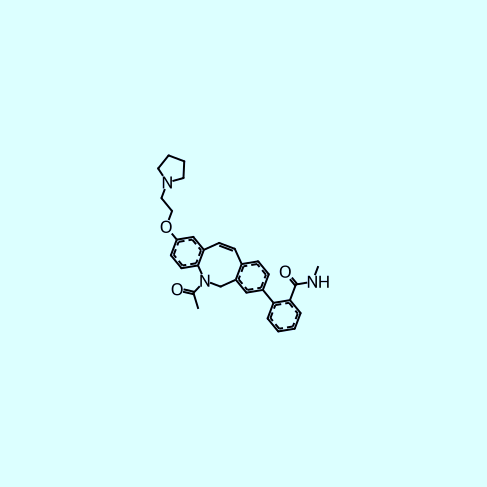 CNC(=O)c1ccccc1-c1ccc2c(c1)CN(C(C)=O)c1ccc(OCCN3CCCC3)cc1C=C2